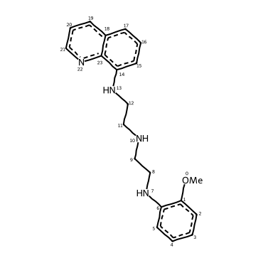 COc1ccccc1NCCNCCNc1cccc2cccnc12